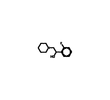 OC(CN1CCCCC1)c1ccccc1F